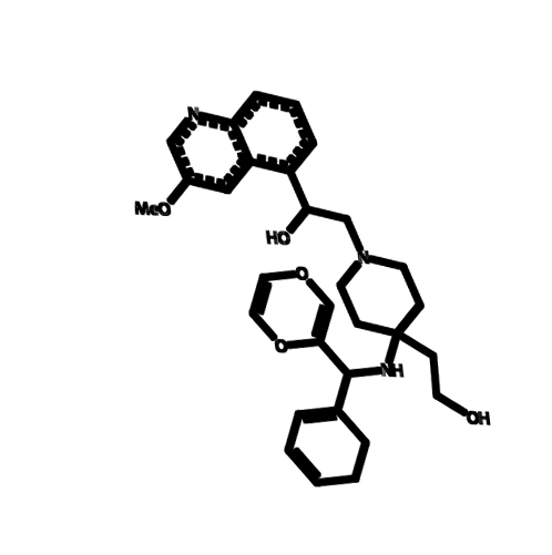 COc1cnc2cccc(C(O)CN3CCC(CCO)(NC(C4=CC=CCC4)C4=COC=CO4)CC3)c2c1